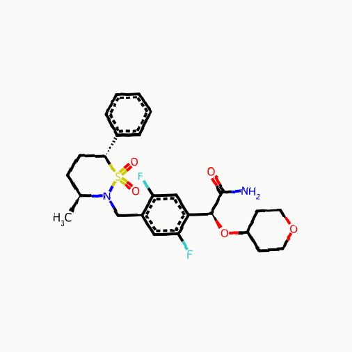 C[C@H]1CC[C@H](c2ccccc2)S(=O)(=O)N1Cc1cc(F)c([C@H](OC2CCOCC2)C(N)=O)cc1F